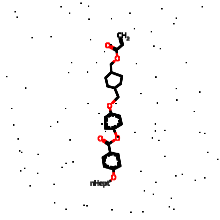 C=CC(=O)OCC1CCC(COc2ccc(OC(=O)c3ccc(OCCCCCCC)cc3)cc2)CC1